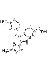 Cc1cccc(Cn2c(-c3ccc(C)o3)nc3cc(CO)ccc32)c1